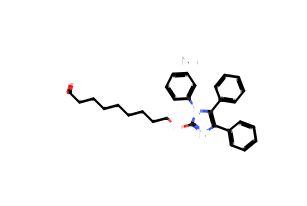 O=C([O-])CCCCCCCCOc1nc(-c2ccccc2)c(-c2ccccc2)n1-c1ccccc1.[Na+]